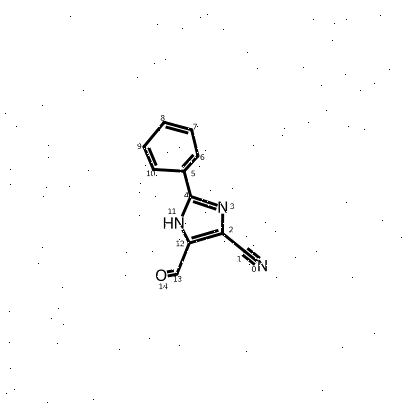 N#Cc1nc(-c2ccccc2)[nH]c1C=O